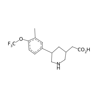 Cc1cc(C2CNCC(CC(=O)O)C2)ccc1OC(F)(F)F